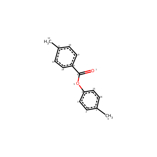 Cc1ccc(OC(=O)c2ccc(C)cc2)cc1